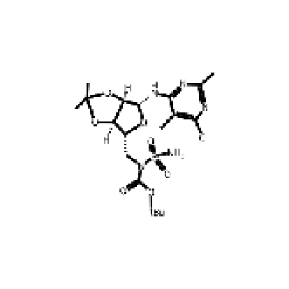 Cc1nc(Cl)c(C)c(N[C@@H]2O[C@H](CN(C(=O)OC(C)(C)C)S(N)(=O)=O)[C@H]3OC(C)(C)O[C@H]32)n1